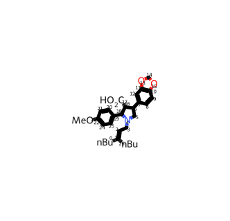 CCCCC(=CCN1CC(c2ccc3c(c2)OCO3)C(C(=O)O)C1c1ccc(OC)cc1)CCCC